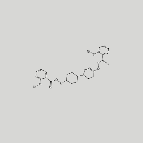 CCOc1ccccc1C(=O)OOC1=CCC(C2CCC(OOC(=O)c3ccccc3OCC)CC2)CC1